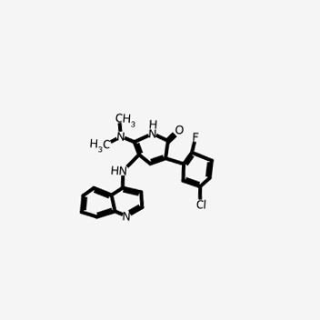 CN(C)c1[nH]c(=O)c(-c2cc(Cl)ccc2F)cc1Nc1ccnc2ccccc12